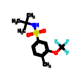 Cc1ccc(S(=O)(=O)NC(C)(C)C)cc1OC(F)(F)F